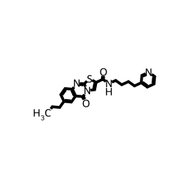 CCCc1ccc2nc3sc(C(=O)NCCCCc4cccnc4)cn3c(=O)c2c1